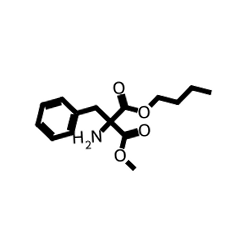 CCCCOC(=O)C(N)(Cc1ccccc1)C(=O)OC